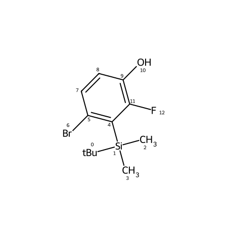 CC(C)(C)[Si](C)(C)c1c(Br)ccc(O)c1F